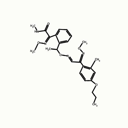 CCCOc1ccc(C(C=NOC(C)c2ccccc2C(=NOC)C(=O)NC)=NOC)c(C)c1